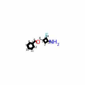 N[C@H]1C[C@H](COCc2ccccc2)C1F